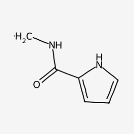 [CH2]NC(=O)c1ccc[nH]1